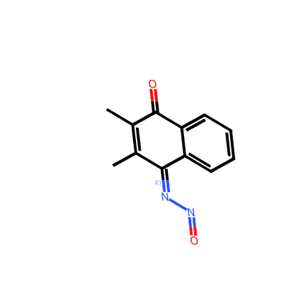 CC1=C(C)/C(=N/N=O)c2ccccc2C1=O